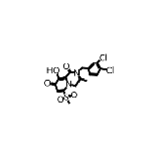 CC1Cn2c(S(C)(=O)=O)cc(=O)c(O)c2C(=O)N1Cc1ccc(Cl)c(Cl)c1